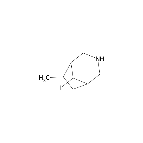 CC1CC2CNCC1C2I